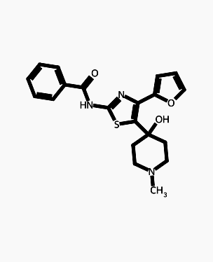 CN1CCC(O)(c2sc(NC(=O)c3ccccc3)nc2-c2ccco2)CC1